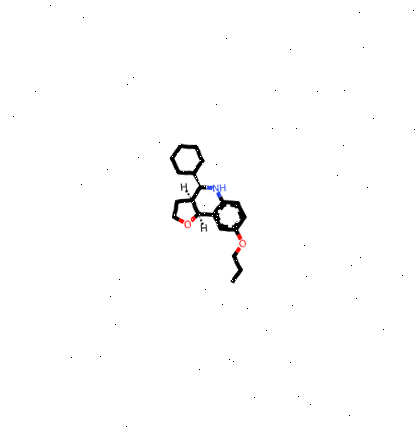 CCCOc1ccc2c(c1)[C@H]1OCC[C@H]1[C@@H](C1CCCCC1)N2